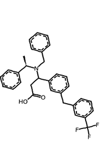 C[C@H](c1ccccc1)N(Cc1ccccc1)C(CC(=O)O)c1cccc(Cc2cccc(C(F)(F)F)c2)c1